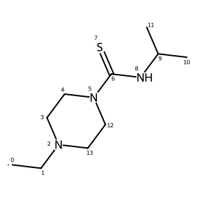 [CH2]CN1CCN(C(=S)NC(C)C)CC1